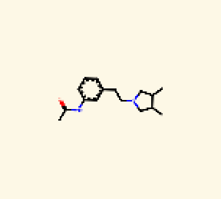 CC(=O)Nc1cccc(CCN2CC(C)C(C)C2)c1